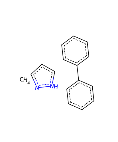 C.c1ccc(-c2ccccc2)cc1.c1cn[nH]c1